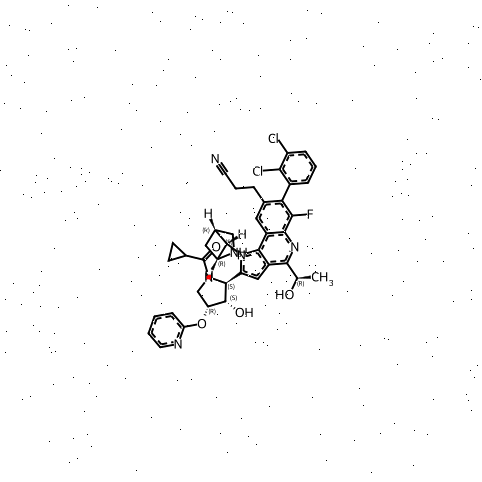 C[C@@H](O)c1nc2c(F)c(-c3cccc(Cl)c3Cl)c(CCC#N)cc2c2c1cc([C@H]1[C@H](O)[C@H](Oc3ccccn3)CN1C(=O)C1CC1)n2[C@H]1[C@H]2CN[C@@H]1C2